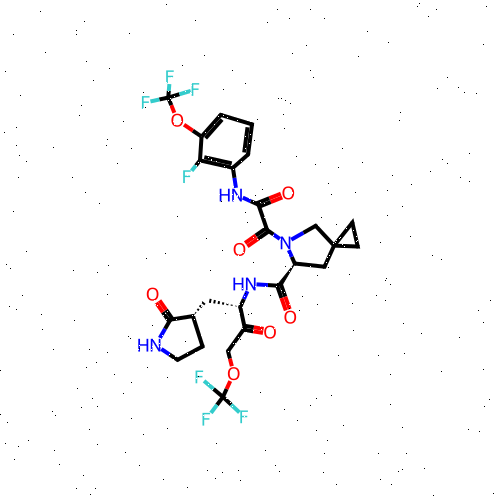 O=C(Nc1cccc(OC(F)(F)F)c1F)C(=O)N1CC2(CC2)C[C@H]1C(=O)N[C@@H](C[C@@H]1CCNC1=O)C(=O)COC(F)(F)F